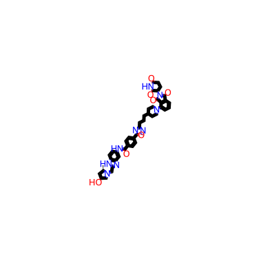 C[C@H]1C[C@H](O)CN1Cc1nc2cc(NC(=O)c3ccc(-c4nc(CCCC5CCN(c6cccc7c6C(=O)N(C6CCC(=O)NC6=O)C7=O)CC5)no4)cc3)ccc2[nH]1